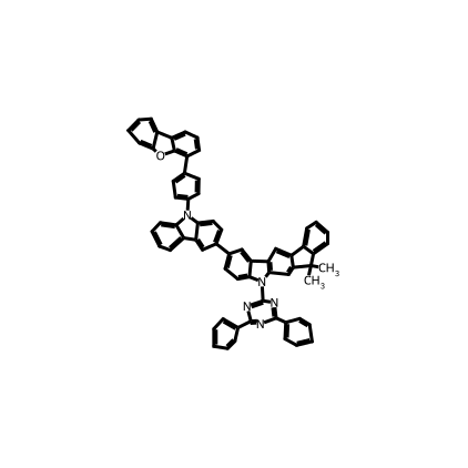 CC1(C)c2ccccc2-c2cc3c4cc(-c5ccc6c(c5)c5ccccc5n6-c5ccc(-c6cccc7c6oc6ccccc67)cc5)ccc4n(-c4nc(-c5ccccc5)nc(-c5ccccc5)n4)c3cc21